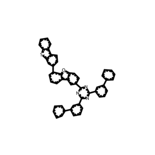 c1ccc(-c2cccc(-c3nc(-c4cccc(-c5ccccc5)c4)nc(-c4ccc5oc6c(-c7ccc8c(c7)sc7ccccc78)cccc6c5c4)n3)c2)cc1